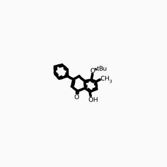 Cc1cc(O)c2c(c1OC(C)(C)C)CC(c1ccccc1)=CC2=O